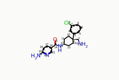 NC[C@]1(c2cccc(Cl)c2)CC[C@H](NC(=O)c2ccc(N)nc2)CC1